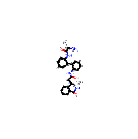 CC[C@H](C)[C@@H]1NC(=O)c2ccccc2/C1=C/C(=O)Nc1ccccc1-c1ccccc1NC(=O)[C@@H](N)C(C)C